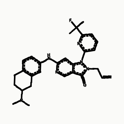 C=CCn1c(=O)c2cnc(Nc3ccc4c(c3)CC(N(C)C)CC4)cc2n1-c1cccc(C(C)(C)F)n1